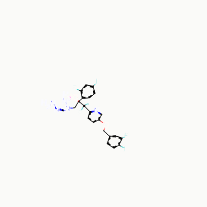 N/N=C\N(N)CC(O)(c1ccc(F)cc1F)C(F)(F)c1ccc(OCc2ccc(F)c(F)c2)cn1